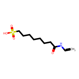 C=CNC(=O)CCCCCCCS(=O)(=O)O